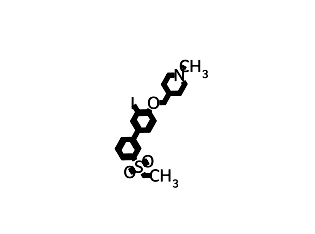 CCS(=O)(=O)c1cccc(-c2ccc(OCC3CCN(C)CC3)c(I)c2)c1